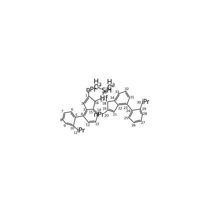 CCCC1=Cc2c(-c3ccccc3C(C)C)cccc2[CH]1[Hf]([CH]1C(CCC)=Cc2c(-c3ccccc3C(C)C)cccc21)[SiH](C)C